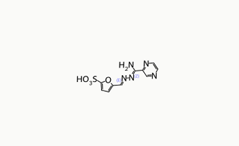 N/C(=N\N=C\c1ccc(S(=O)(=O)O)o1)c1cnccn1